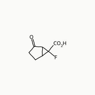 O=C1CCC2C1C2(F)C(=O)O